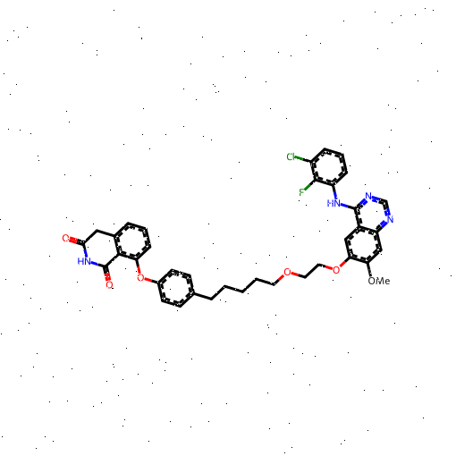 COc1cc2ncnc(Nc3cccc(Cl)c3F)c2cc1OCCOCCCCCc1ccc(Oc2cccc3c2C(=O)NC(=O)C3)cc1